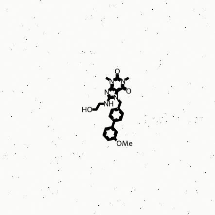 COc1cccc(-c2ccc(Cn3c(NCCO)nc4c3c(=O)n(C)c(=O)n4C)cc2)c1